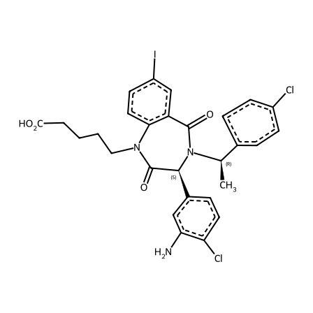 C[C@H](c1ccc(Cl)cc1)N1C(=O)c2cc(I)ccc2N(CCCCC(=O)O)C(=O)[C@@H]1c1ccc(Cl)c(N)c1